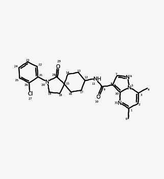 Cc1cc(C)n2ncc(C(=O)NC3CCC4(CC3)CCN(c3ccccc3Cl)C4=O)c2n1